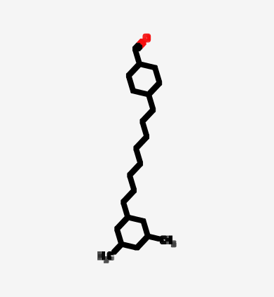 CC1CC(C)CC(CCCCCCCCC2CCC(C=O)CC2)C1